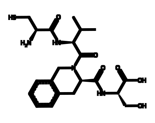 CC(C)[C@H](NC(=O)[C@@H](N)CS)C(=O)N1Cc2ccccc2C[C@@H]1C(=O)N[C@@H](CO)C(=O)O